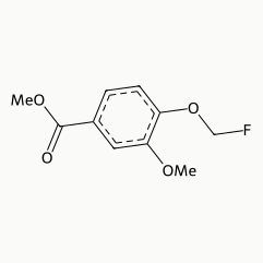 COC(=O)c1ccc(OCF)c(OC)c1